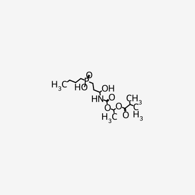 CCCCP(=O)(O)CCC(O)NC(=O)OC(C)OC(=O)C(C)C